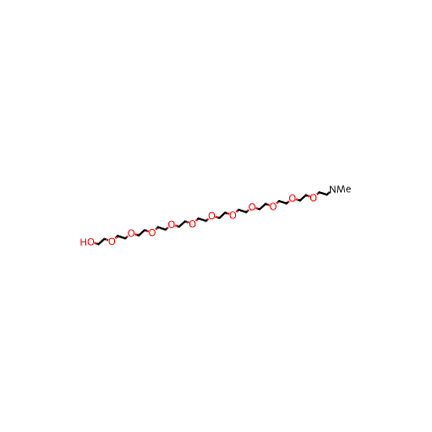 CNCCOCCOCCOCCOCCOCCOCCOCCOCCOCCOCCOCCO